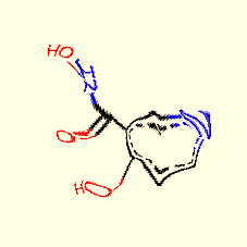 O=C(NO)c1cnccc1O